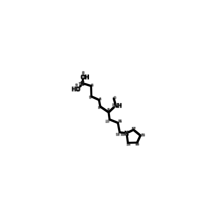 CNC(CCCCB(O)O)CCCN1CCCC1